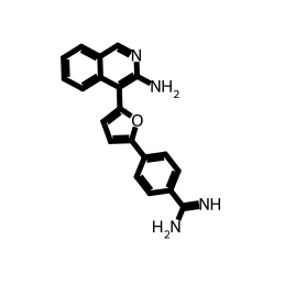 N=C(N)c1ccc(-c2ccc(-c3c(N)ncc4ccccc34)o2)cc1